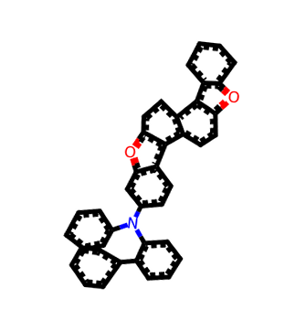 c1ccc(-c2ccccc2N(c2ccccc2)c2ccc3c(c2)oc2ccc4c(ccc5oc6ccccc6c54)c23)cc1